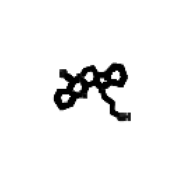 O=c1c2ccccc2nc2n1CCc1c-2n(CCCO)c2ccccc12